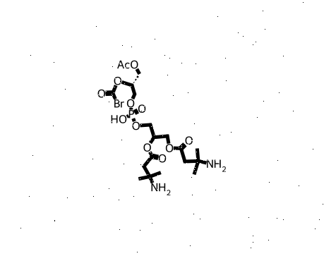 CC(=O)OC[C@H](COP(=O)(O)OCC(COC(=O)CC(C)(C)N)OC(=O)CC(C)(C)N)OC(=O)Br